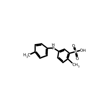 Cc1ccc(Pc2ccc(C)c(S(=O)(=O)O)c2)cc1